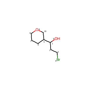 OC(CCBr)C1CCCOC1